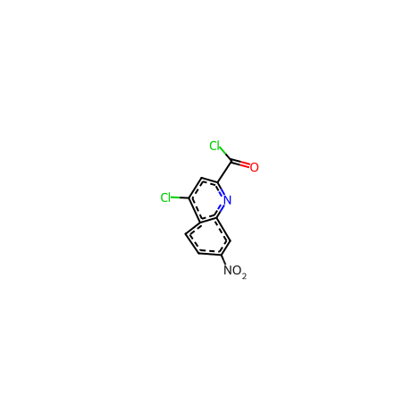 O=C(Cl)c1cc(Cl)c2ccc([N+](=O)[O-])cc2n1